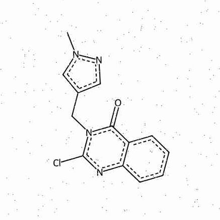 Cn1cc(Cn2c(Cl)nc3ccccc3c2=O)cn1